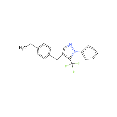 CCc1ccc(Cc2cnn(-c3ccccc3)c2C(F)(F)F)cc1